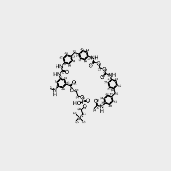 CNc1cc(NC(=O)Nc2ccc(Cc3ccc(NC(=O)OCOC(=O)Nc4ccc(Cc5ccc(NC(C)=O)cc5)cc4)cc3)cc2)cc(C(=O)OCCOP(=O)(O)OCC[N+](C)(C)C)c1